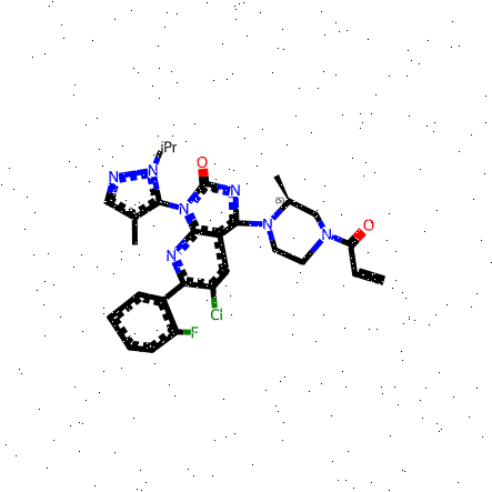 C=CC(=O)N1CCN(c2nc(=O)n(-c3c(C)cnn3C(C)C)c3nc(-c4ccccc4F)c(Cl)cc23)[C@@H](C)C1